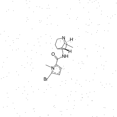 C[C@H]1[C@H](NC(=O)c2ccc(Br)n2C)C2CCN1CC2